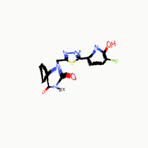 CCN1C(=O)N(Cc2nnc(-c3ccc(F)c(O)n3)s2)C2(CC2)C1=O